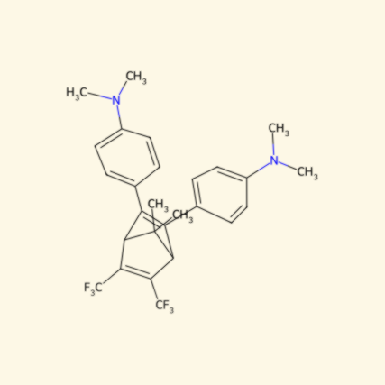 CN(C)c1ccc(C2=C(c3ccc(N(C)C)cc3)C3C(C(F)(F)F)=C(C(F)(F)F)C2C3(C)C)cc1